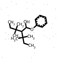 CCC(C)(C)C(C(O)Oc1ccccc1)C(C)(C)CC